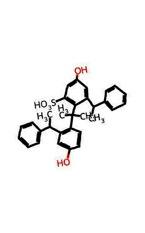 CC(c1ccccc1)c1cc(O)ccc1C(C)(C)c1c(C(C)c2ccccc2)cc(O)cc1S(=O)(=O)O